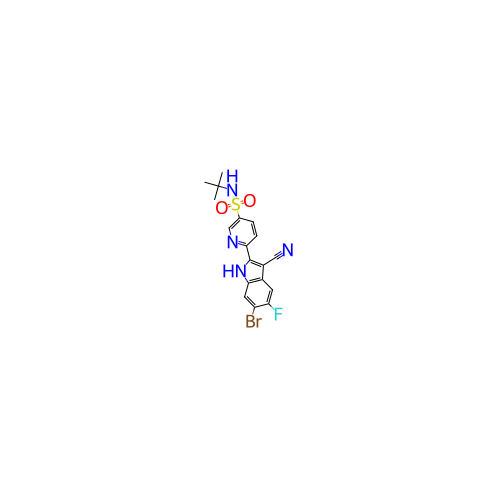 CC(C)(C)NS(=O)(=O)c1ccc(-c2[nH]c3cc(Br)c(F)cc3c2C#N)nc1